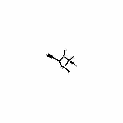 C#CC1CN(C)P(C)(=S)N1C